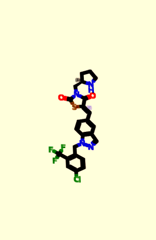 O=C1S/C(=C\c2ccc3c(cnn3Cc3ccc(Cl)cc3C(F)(F)F)c2)C(=O)N1C[C@H]1CCCN1